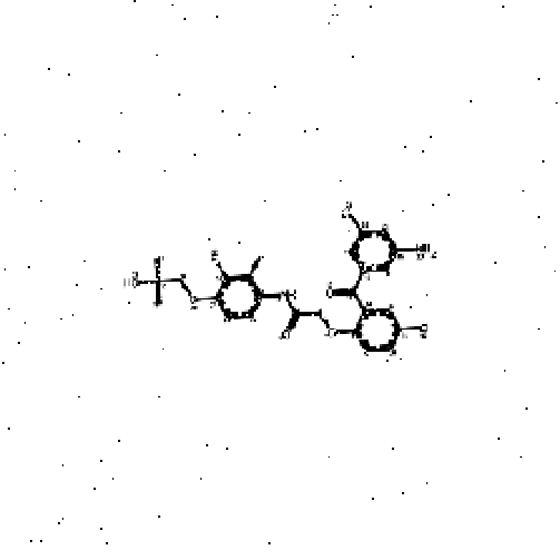 Cc1c(NC(=O)COc2ccc(Cl)cc2C(=O)c2cc(N)cc(Cl)c2)ccc(OCC(C)(C)O)c1F